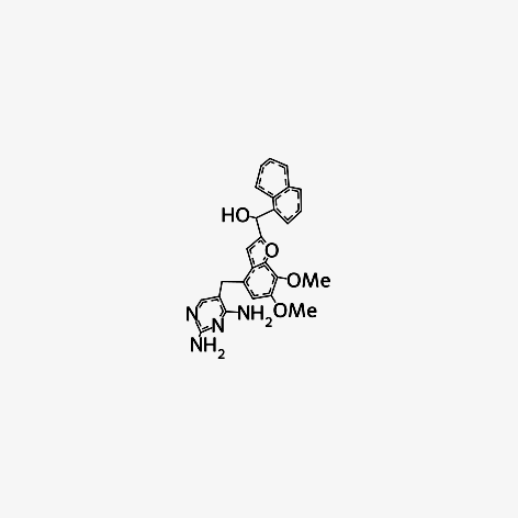 COc1cc(Cc2cnc(N)nc2N)c2cc(C(O)c3cccc4ccccc34)oc2c1OC